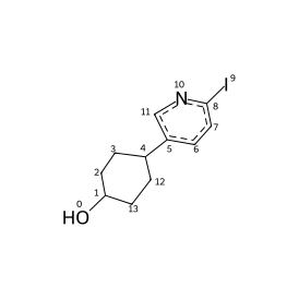 OC1CCC(c2ccc(I)nc2)CC1